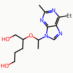 CCc1nc(C)nc2c1ncn2C(C)OC(CO)CCCO